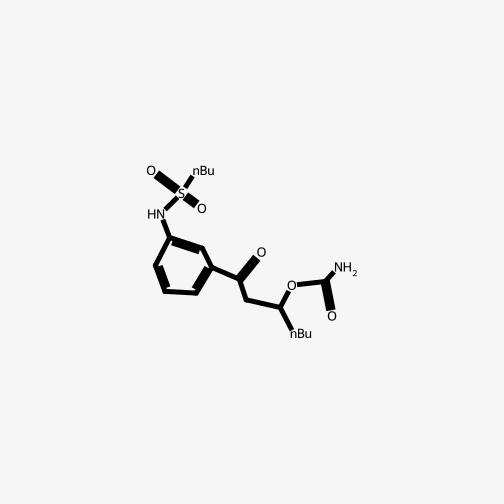 CCCCC(CC(=O)c1cccc(NS(=O)(=O)CCCC)c1)OC(N)=O